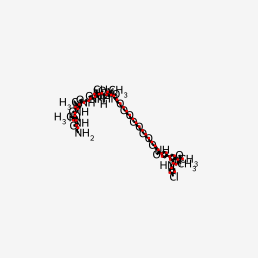 CC(=O)N1c2ccc(-c3ccc(C(=O)NCCOCCOCCOCCOCCOCCOCCOCCOCCNC(=O)c4cc(NC(=O)c5nc(NC(=O)CCNC(=O)c6cc(NC(=O)c7nc(NC(=O)CCN)cn7C)cn6C)cn5C)cn4C)cc3)cc2[C@H](Nc2ccc(Cl)cc2)C[C@@H]1C